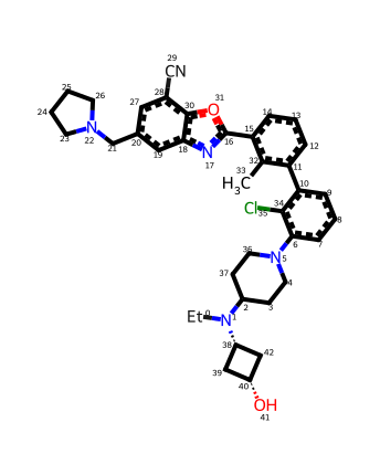 CCN(C1CCN(c2cccc(-c3cccc(-c4nc5cc(CN6CCCC6)cc(C#N)c5o4)c3C)c2Cl)CC1)[C@H]1C[C@@H](O)C1